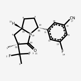 CC(F)(F)[C@@]1(C)C[C@@H]2CC[C@H](c3cc(F)cc(C#N)c3)N2C1=O